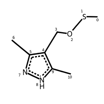 CSOCc1c(C)n[nH]c1C